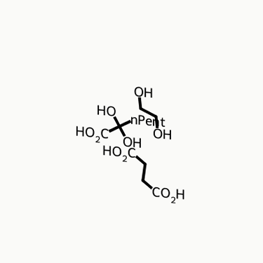 CCCCCC(O)(O)C(=O)O.O=C(O)CCC(=O)O.OCCO